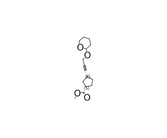 COC(=O)[C@H]1CC[C@@H](C#CCOC2CCCCO2)C1